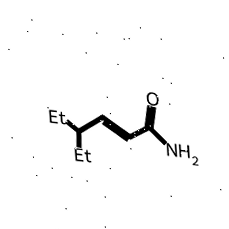 CCC(C=CC(N)=O)CC